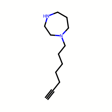 C#CCCCCCN1CCCNCC1